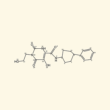 O=C(NC1CCC(c2ccccc2)CC1)c1[nH]c(=O)n(CCO)c(=O)c1O